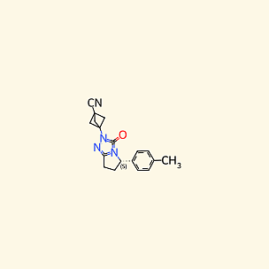 Cc1ccc([C@@H]2CCc3nn(C45CC(C#N)(C4)C5)c(=O)n32)cc1